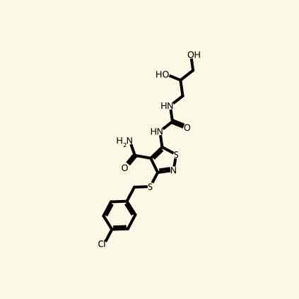 NC(=O)c1c(SCc2ccc(Cl)cc2)nsc1NC(=O)NCC(O)CO